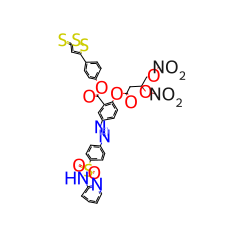 O=C(CC(CO[N+](=O)[O-])O[N+](=O)[O-])Oc1ccc(/N=N/c2ccc(S(=O)(=O)Nc3ccccn3)cc2)cc1C(=O)Oc1ccc(-c2cc(=S)ss2)cc1